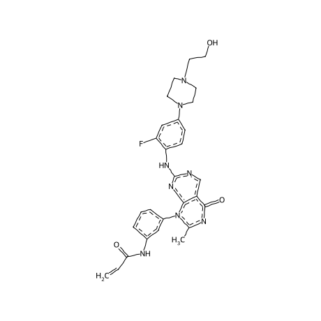 C=CC(=O)Nc1cccc(-n2c(C)nc(=O)c3cnc(Nc4ccc(N5CCN(CCO)CC5)cc4F)nc32)c1